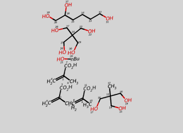 C=C(C)C(=O)O.C=C(C)C(=O)O.C=C(C)C(=O)O.CC(CO)(CO)CO.CCCCO.OCC(CO)(CO)CO.OCCCCC(O)CO